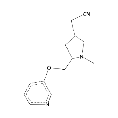 CN1CC(CC#N)CC1COc1cccnc1